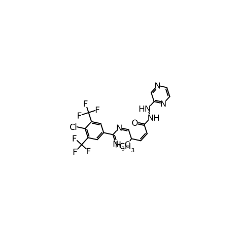 C/N=C(\N=C/C(C)/C=C\C(=O)NNc1cnccn1)c1cc(C(F)(F)F)c(Cl)c(C(F)(F)F)c1